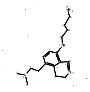 CN(C)CCc1ccc(NCCCCN)c2c1CCN=C2